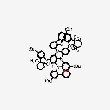 CC(C)(C)c1ccc2c(c1)B1c3ccc(N4c5ccc(C(C)(C)C)cc5C5(C)CCCCC45C)cc3N(c3cccc4c3oc3ccccc34)c3cc(N4c5ccc(C(C)(C)C)cc5C5(C)CCCCC45C)cc(c31)N2c1ccc(C(C)(C)C)cc1-c1ccccc1